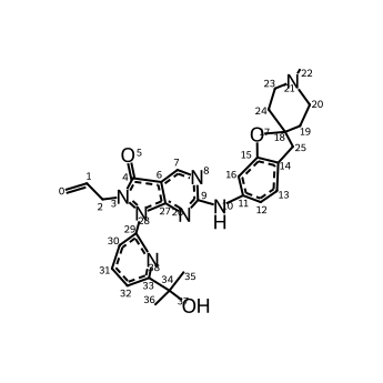 C=CCn1c(=O)c2cnc(Nc3ccc4c(c3)OC3(CCN(C)CC3)C4)nc2n1-c1cccc(C(C)(C)O)n1